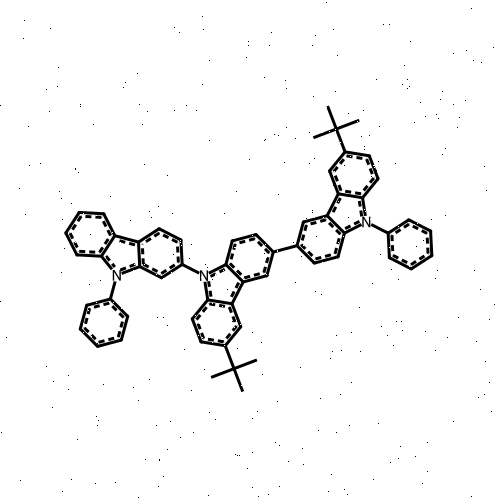 CC(C)(C)c1ccc2c(c1)c1cc(-c3ccc4c(c3)c3cc(C(C)(C)C)ccc3n4-c3ccc4c5ccccc5n(-c5ccccc5)c4c3)ccc1n2-c1ccccc1